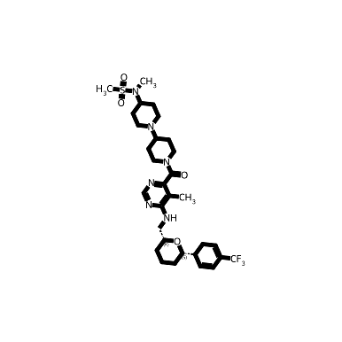 Cc1c(NC[C@H]2CCC[C@@H](C3C=CC(C(F)(F)F)=CC3)O2)ncnc1C(=O)N1CCC(N2CCC(N(C)S(C)(=O)=O)CC2)CC1